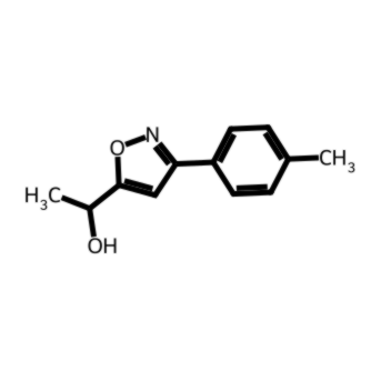 Cc1ccc(-c2cc(C(C)O)on2)cc1